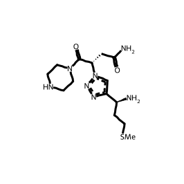 CSCC[C@H](N)c1cn([C@@H](CC(N)=O)C(=O)N2CCNCC2)nn1